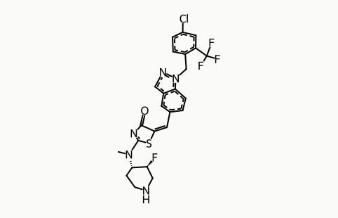 CN(C1=NC(=O)C(=Cc2ccc3c(cnn3Cc3ccc(Cl)cc3C(F)(F)F)c2)S1)[C@H]1CCNC[C@@H]1F